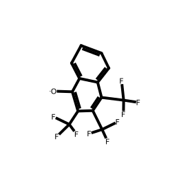 [O]c1c(C(F)(F)F)c(C(F)(F)F)c(C(F)(F)F)c2ccccc12